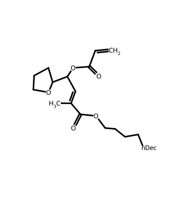 C=CC(=O)OC(C=C(C)C(=O)OCCCCCCCCCCCCCC)C1CCCO1